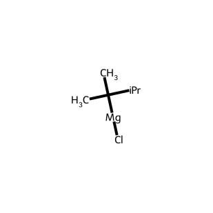 CC(C)[C](C)(C)[Mg][Cl]